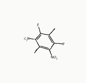 Cc1c(F)c([N+](=O)[O-])c(C)c([N+](=O)[O-])c1F